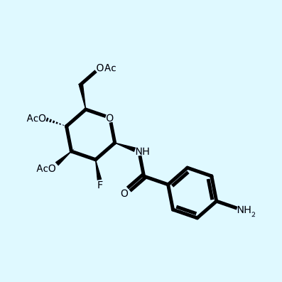 CC(=O)OC[C@H]1O[C@@H](NC(=O)c2ccc(N)cc2)[C@@H](F)[C@@H](OC(C)=O)[C@@H]1OC(C)=O